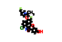 C[C@@H](COc1ccc(C(=O)c2c(-c3ccccc3Cl)noc2-c2ccc(O)cc2)cc1F)N1CC[C@@H](CF)C1